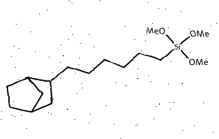 CO[Si](CCCCCCC1CC2CCC1C2)(OC)OC